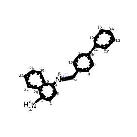 Nc1ccc(/N=C/c2ccc(-c3ccccc3)cc2)c2ccccc12